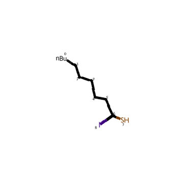 CCCCCCCCCC(S)I